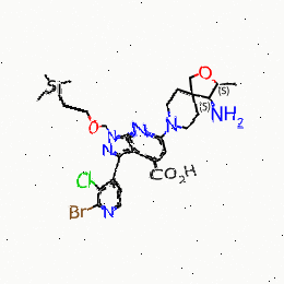 C[C@@H]1OCC2(CCN(c3cc(C(=O)O)c4c(-c5ccnc(Br)c5Cl)nn(COCC[Si](C)(C)C)c4n3)CC2)[C@@H]1N